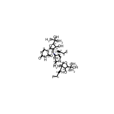 BC(B)(O)C1O[C@@H](n2cc(F)/c(=N\[C@]3(C#CCF)C(O)C(C(B)(B)O)O[C@H]3n3cnc(=O)[nH]c3=O)[nH]c2=O)[C@@](N)(C#CCF)C1O